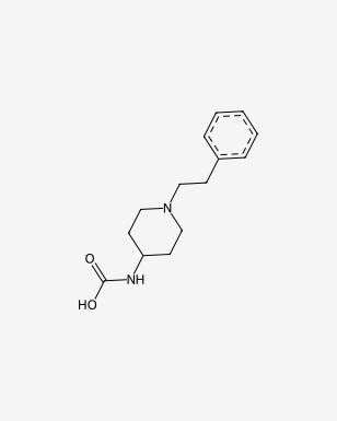 O=C(O)NC1CCN(CCc2ccccc2)CC1